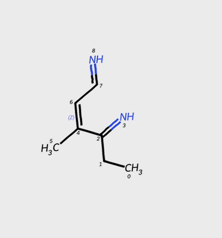 CCC(=N)/C(C)=C\C=N